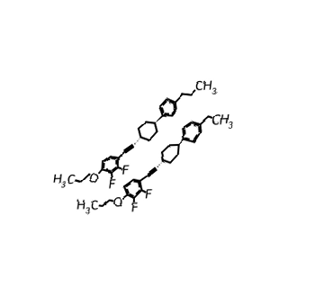 CCCOc1ccc(C#C[C@H]2CC[C@H](c3ccc(CC)cc3)CC2)c(F)c1F.CCCOc1ccc(C#C[C@H]2CC[C@H](c3ccc(CCC)cc3)CC2)c(F)c1F